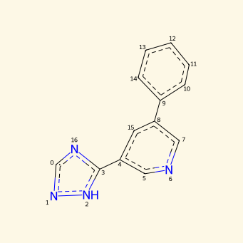 [c]1n[nH]c(-c2cncc(-c3ccccc3)c2)n1